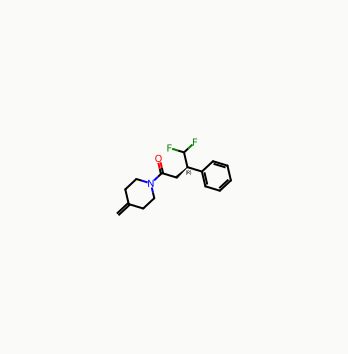 C=C1CCN(C(=O)C[C@H](c2ccccc2)C(F)F)CC1